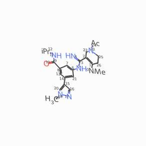 CNC1=C(C(=N)Nc2cc(C(=O)NC(C)C)cc(-c3cnn(C)c3)c2)CN(C(C)=O)CC1